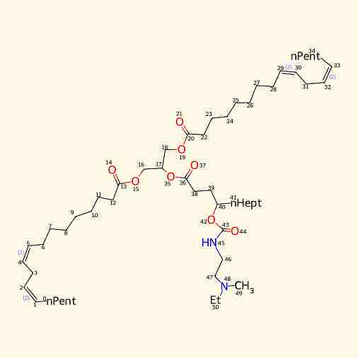 CCCCC/C=C\C/C=C\CCCCCCCC(=O)OCC(COC(=O)CCCCCCC/C=C\C/C=C\CCCCC)OC(=O)CCC(CCCCCCC)OC(=O)NCCN(C)CC